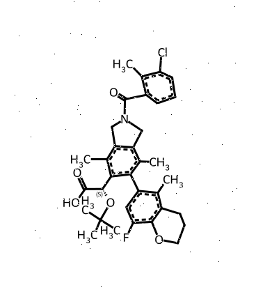 Cc1c(Cl)cccc1C(=O)N1Cc2c(C)c(-c3cc(F)c4c(c3C)CCCO4)c([C@H](OC(C)(C)C)C(=O)O)c(C)c2C1